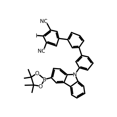 CC1(C)OB(c2ccc3c(c2)c2ccccc2n3-c2cccc(-c3cccc(-c4cc(C#N)c(I)c(C#N)c4)c3)c2)OC1(C)C